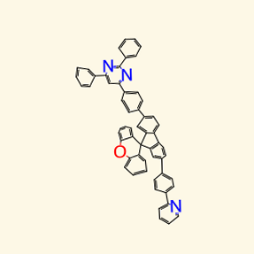 c1ccc(-c2cc(-c3ccc(-c4ccc5c(c4)C4(c6ccccc6Oc6ccccc64)c4cc(-c6ccc(-c7ccccn7)cc6)ccc4-5)cc3)nc(-c3ccccc3)n2)cc1